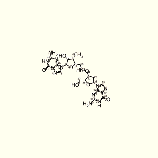 C[C@H]1[C@@H](O)[C@H](n2cnc3c(=O)[nH]c(N)nc32)O[C@@H]1CNO[C@H]1C[C@H](n2cnc3c(=O)[nH]c(N)nc32)O[C@@H]1CO